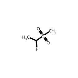 [CH2]C(F)S(C)(=O)=O